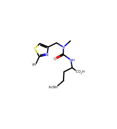 CC(=O)NCCC(NC(=O)N(C)Cc1csc(C(C)C)n1)C(=O)O